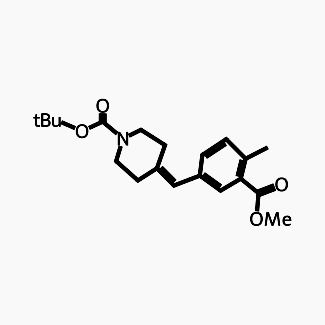 COC(=O)c1cc(C=C2CCN(C(=O)OC(C)(C)C)CC2)ccc1C